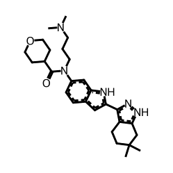 CN(C)CCCN(C(=O)C1CCOCC1)c1ccc2cc(-c3n[nH]c4c3CCC(C)(C)C4)[nH]c2c1